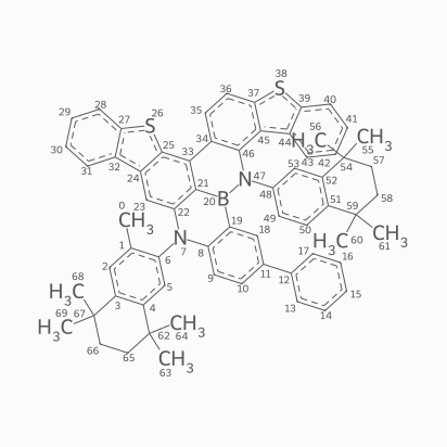 Cc1cc2c(cc1N1c3ccc(-c4ccccc4)cc3B3c4c1cc1c(sc5ccccc51)c4-c1ccc4sc5ccccc5c4c1N3c1ccc3c(c1)C(C)(C)CCC3(C)C)C(C)(C)CCC2(C)C